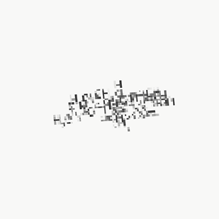 CC(C)CC(=O)OC(C(C)C)C1C[C@@H](C)[C@H]2C(O1)[C@H](O)[C@@]1(C)C3CC[C@H]4C(C)(C)C(O)CCC45CC35CCC21C